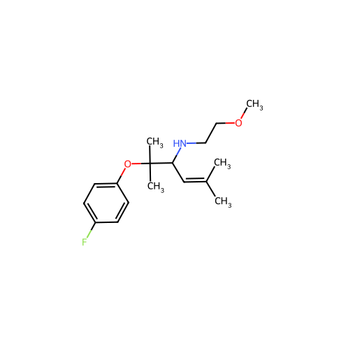 COCCNC(C=C(C)C)C(C)(C)Oc1ccc(F)cc1